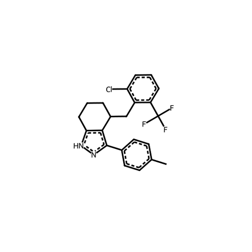 Cc1ccc(-c2n[nH]c3c2C(Cc2c(Cl)cccc2C(F)(F)F)CCC3)cc1